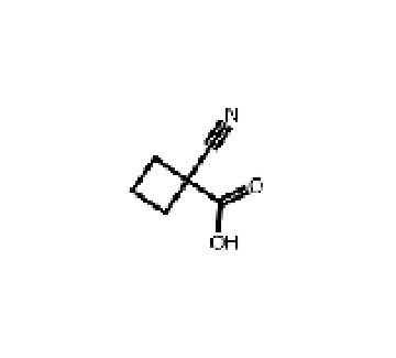 N#CC1(C(=O)O)CCC1